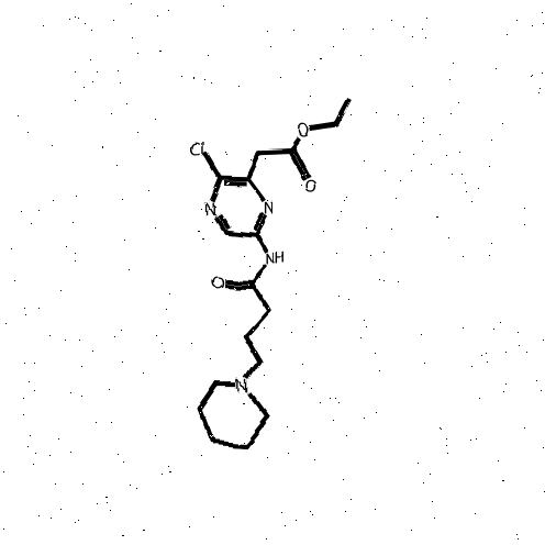 CCOC(=O)Cc1nc(NC(=O)CCCN2CCCCC2)cnc1Cl